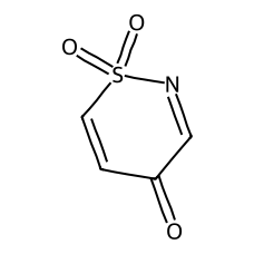 O=C1C=CS(=O)(=O)N=C1